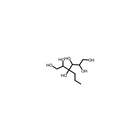 CCCC(O)(C(O)CO)C(O)C(O)CO